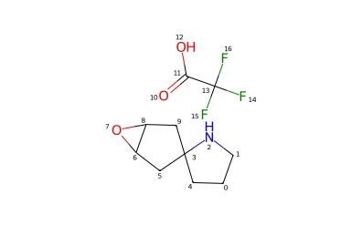 C1CNC2(C1)CC1OC1C2.O=C(O)C(F)(F)F